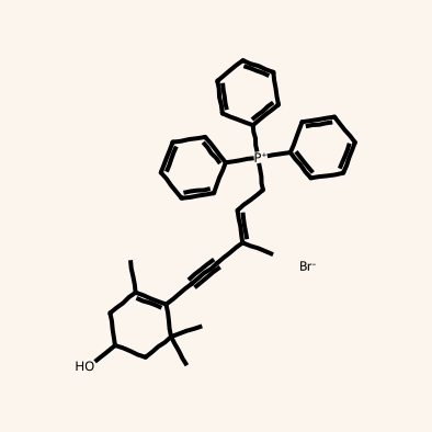 CC(C#CC1=C(C)CC(O)CC1(C)C)=CC[P+](c1ccccc1)(c1ccccc1)c1ccccc1.[Br-]